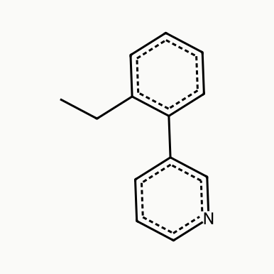 CCc1ccccc1-c1cccnc1